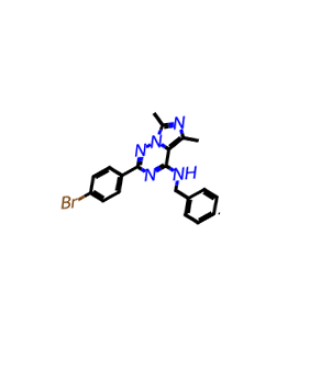 Cc1nc(C)n2nc(-c3ccc(Br)cc3)nc(NCc3cc[c]cc3)c12